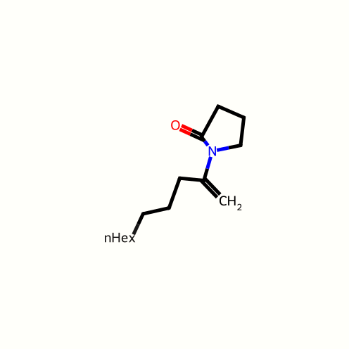 C=C(CCCCCCCCC)N1CCCC1=O